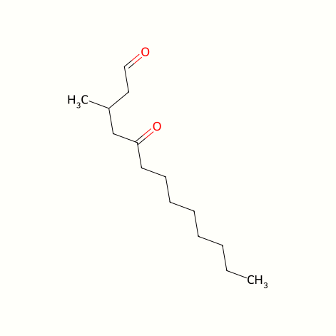 CCCCCCCCC(=O)CC(C)CC=O